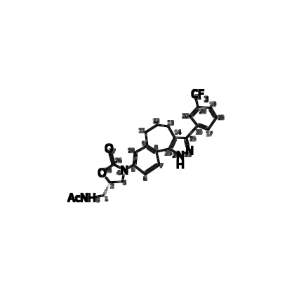 CC(=O)NC[C@H]1CN(c2ccc3c(c2)CCCc2c(-c4cccc(C(F)(F)F)c4)n[nH]c2-3)C(=O)O1